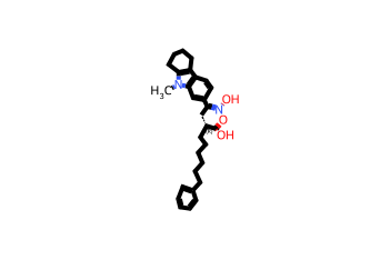 Cn1c2c(c3ccc(C(C[C@@H](CCCCCCc4ccccc4)C(=O)O)=NO)cc31)CCCC2